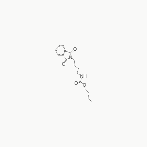 CCCCOC(=O)NCCCCN1C(=O)c2ccccc2C1=O